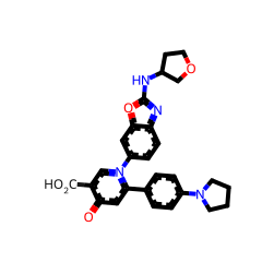 O=C(O)c1cn(-c2ccc3nc(NC4CCOC4)oc3c2)c(-c2ccc(N3CCCC3)cc2)cc1=O